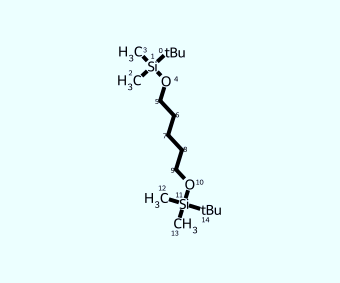 CC(C)(C)[Si](C)(C)OCCCCCO[Si](C)(C)C(C)(C)C